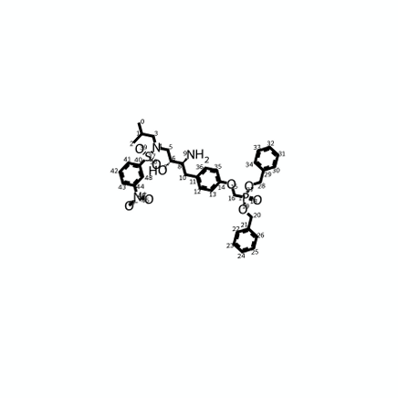 CC(C)CN(C[C@@H](O)[C@@H](N)Cc1ccc(OCP(=O)(OCc2ccccc2)OCc2ccccc2)cc1)S(=O)(=O)c1cccc([N+](=O)[O-])c1